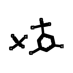 O=S(=O)(Cl)Cl.O=S(=O)(Cl)c1cc(Cl)cc(Cl)c1